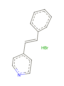 Br.C(=C\c1ccncc1)/c1ccccc1